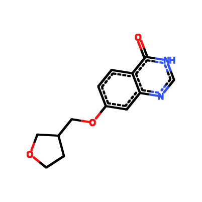 O=c1[nH]cnc2cc(OCC3CCOC3)ccc12